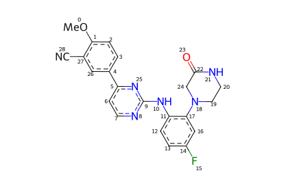 COc1ccc(-c2ccnc(Nc3ccc(F)cc3N3CCNC(=O)C3)n2)cc1C#N